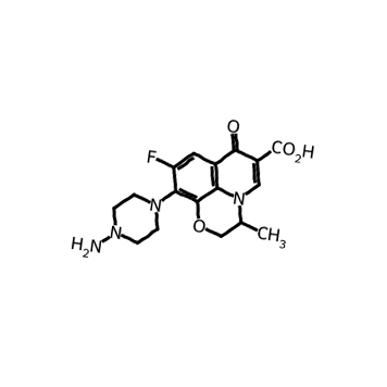 CC1COc2c(N3CCN(N)CC3)c(F)cc3c(=O)c(C(=O)O)cn1c23